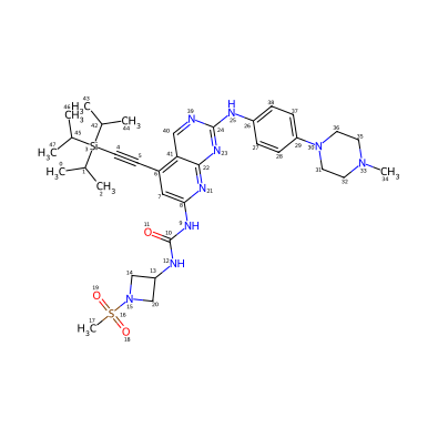 CC(C)[Si](C#Cc1cc(NC(=O)NC2CN(S(C)(=O)=O)C2)nc2nc(Nc3ccc(N4CCN(C)CC4)cc3)ncc12)(C(C)C)C(C)C